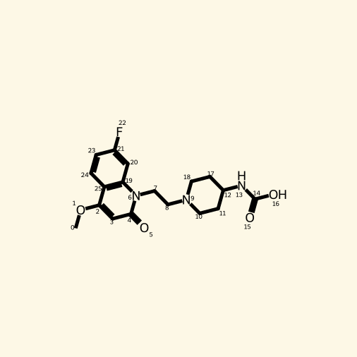 COc1cc(=O)n(CCN2CCC(NC(=O)O)CC2)c2cc(F)ccc12